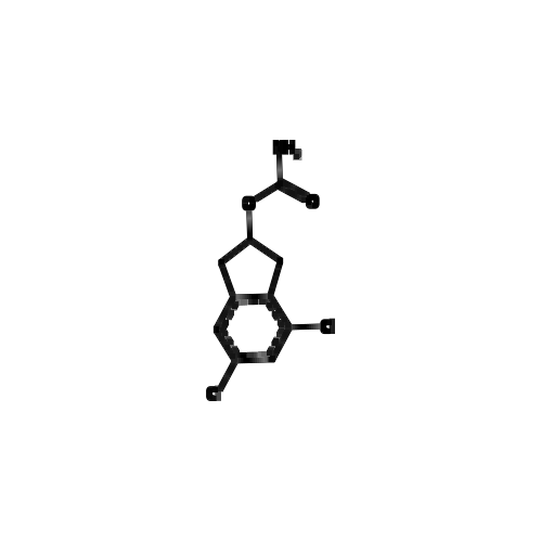 NC(=O)OC1Cc2cc(Cl)cc(Cl)c2C1